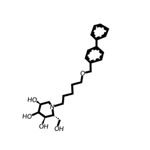 OC[C@@H]1[C@@H](O)C(O)[C@@H](O)CN1CCCCCOCc1ccc(-c2ccccc2)cc1